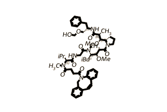 CC[C@H](C)[C@@H]([C@@H](CC(=O)N1CCC[C@H]1[C@H](OC)[C@@H](C)C(=O)N[C@H](COCO)Cc1ccccc1)OC)N(C)C(=O)CNC(=O)[C@H](C(C)C)N(C)C(=O)CCC(=O)N1Cc2ccccc2C#Cc2ccccc21